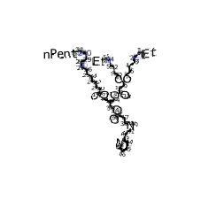 CC/C=C\CCCCOC(CCC(=O)OCC(COC(=O)CCCCCCC/C=C\C/C=C\CCCCC)COC(=O)CCN(C)CCc1ccccn1)OCCCC/C=C\CC